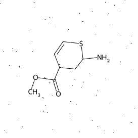 COC(=O)C1C=CSC(N)C1